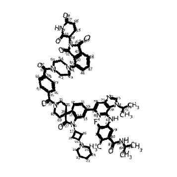 Cc1cc(F)c(Nc2nc(-c3ccc4c(c3)N([C@H]3C[C@@H](N5CCCCC5)C3)C(=O)C43CCN(C(=O)c4ccc(C(=O)N5CCN(c6cccc7c6C(=O)N(C6CCC(=O)NC6=O)C7=O)CC5)cc4)CC3)cc3ncn(C(C)C)c23)cc1C(=O)NC(C)C